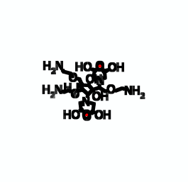 NCCOCC(N)C(O)C(O)(C(COCCN)N(CC(=O)O)CC(=O)O)C(COCCN)N(CC(=O)O)CC(=O)O